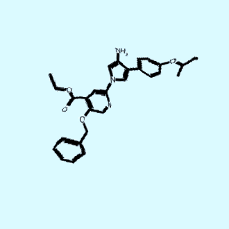 CCOC(=O)c1cc(-n2cc(N)c(-c3ccc(OC(C)C)cc3)c2)ncc1OCc1ccccc1